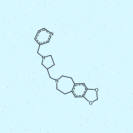 c1cncc(CN2CCC(CN3CCc4cc5c(cc4CC3)OCO5)C2)c1